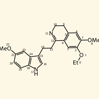 CCOc1cc2c(cc1OC)CCN=C2CCc1c[nH]c2ccc(OC)cc12